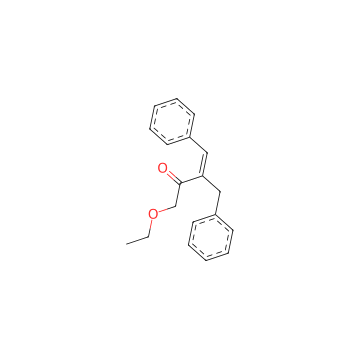 CCOCC(=O)C(=Cc1ccccc1)Cc1ccccc1